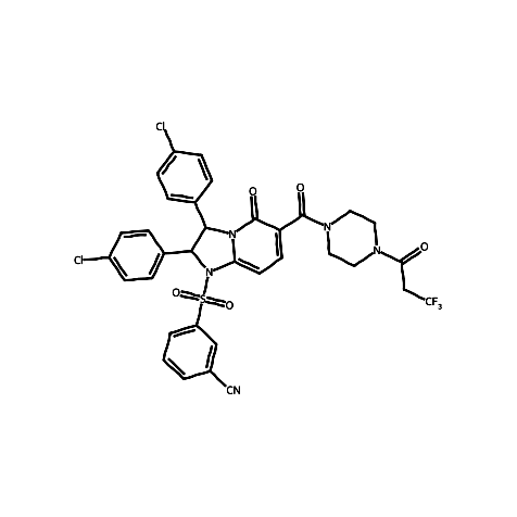 N#Cc1cccc(S(=O)(=O)N2c3ccc(C(=O)N4CCN(C(=O)CC(F)(F)F)CC4)c(=O)n3C(c3ccc(Cl)cc3)C2c2ccc(Cl)cc2)c1